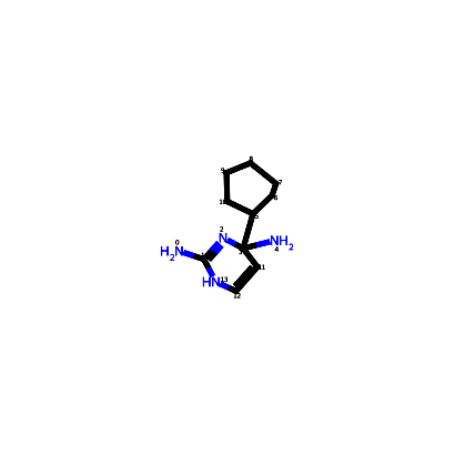 NC1=NC(N)(C2CCCCC2)C=CN1